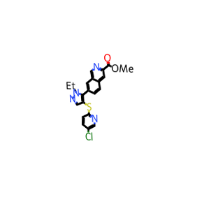 CCn1ncc(Sc2ccc(Cl)cn2)c1-c1ccc2cc(C(=O)OC)ncc2c1